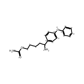 NC(=O)OCCCCC(N)c1ccc(Oc2ccccc2)cc1